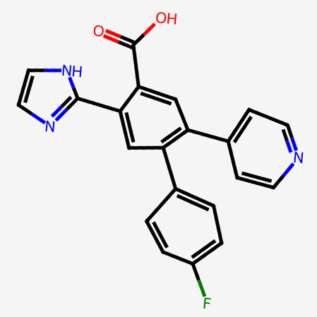 O=C(O)c1cc(-c2ccncc2)c(-c2ccc(F)cc2)cc1-c1ncc[nH]1